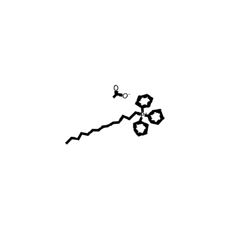 CC(=O)[O-].CCCCCCCCCCCCCC[P+](c1ccccc1)(c1ccccc1)c1ccccc1